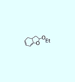 CCOC1CC2CC=CC=C2O1